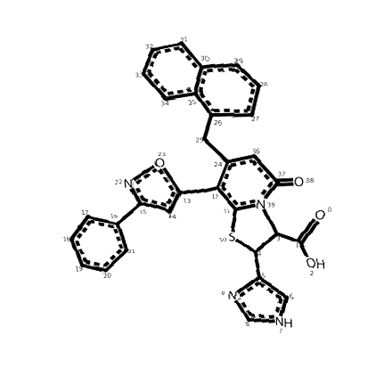 O=C(O)C1C(c2c[nH]cn2)Sc2c(-c3cc(-c4ccccc4)no3)c(Cc3cccc4ccccc34)cc(=O)n21